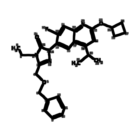 CCn1c(COCc2ccccc2)nn(-c2cc3c(C(C)C)cc(OC4CCC4)nc3cc2F)c1=O